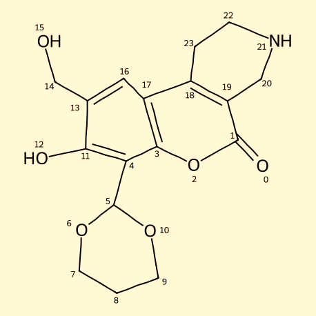 O=c1oc2c(C3OCCCO3)c(O)c(CO)cc2c2c1CNCC2